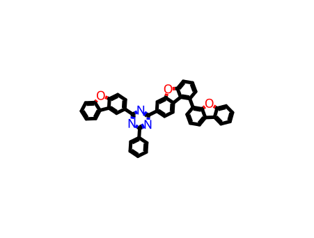 c1ccc(-c2nc(-c3ccc4c(c3)oc3cccc(-c5cccc6c5oc5ccccc56)c34)nc(-c3ccc4oc5ccccc5c4c3)n2)cc1